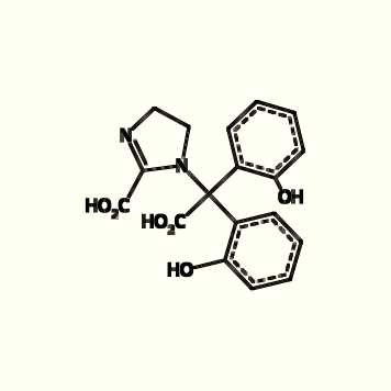 O=C(O)C1=NCCN1C(C(=O)O)(c1ccccc1O)c1ccccc1O